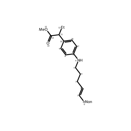 CCCCCCCCCC=CCCCNc1ccc(C(CC)C(=O)OC)cc1